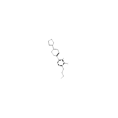 CCCCc1ccc(C2=CCC(C3CCCC3)CC2)c(F)c1F